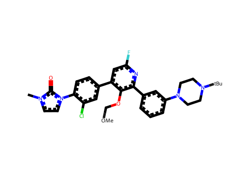 COCOc1c(-c2ccc(-n3ccn(C)c3=O)c(Cl)c2)cc(F)nc1-c1cccc(N2CCN(C(C)(C)C)CC2)c1